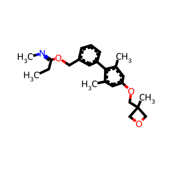 CC/C(=N\C)OCc1cccc(-c2c(C)cc(OCC3(C)COC3)cc2C)c1